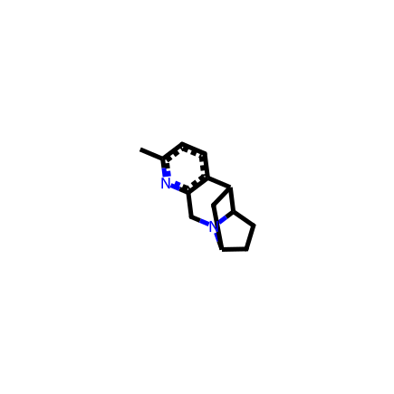 Cc1ccc2c(n1)CN1C3CCC1C2C3